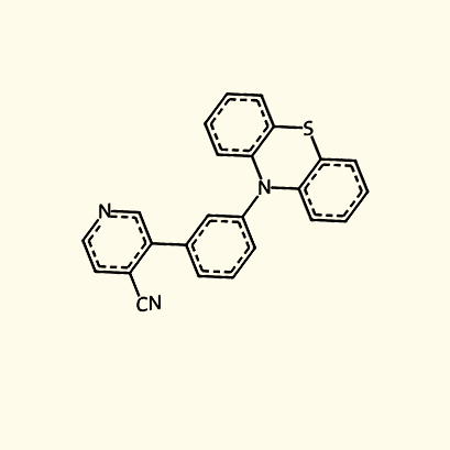 N#Cc1ccncc1-c1cccc(N2c3ccccc3Sc3ccccc32)c1